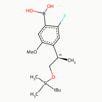 COc1cc(B(O)O)c(F)cc1[C@@H](C)CO[Si](C)(C)C(C)(C)C